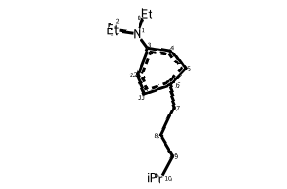 CCN(CC)c1ccc(CCCC(C)C)cc1